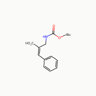 CC(C)(C)OC(=O)NCC(=Cc1ccccc1)C(=O)O